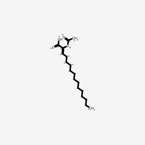 CCCCCCCCCCCCCC=C(OC(C)=O)C(=O)O